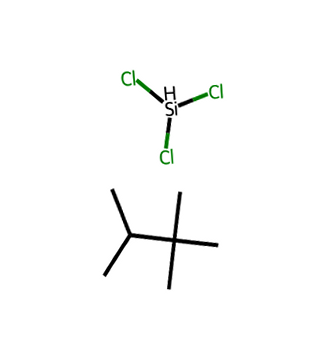 CC(C)C(C)(C)C.Cl[SiH](Cl)Cl